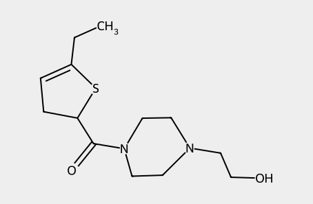 CCC1=CCC(C(=O)N2CCN(CCO)CC2)S1